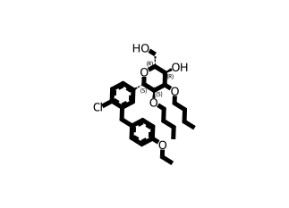 CCCCOC1[C@@H](OCCCC)[C@H](c2ccc(Cl)c(Cc3ccc(OCC)cc3)c2)O[C@H](CO)[C@H]1O